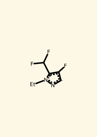 CCn1n[c]c(F)c1C(F)F